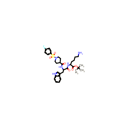 CC(C)(C)OC(=O)C(CCCCN)NC(=O)C(Cc1c[nH]c2ccccc12)NC(=O)C1CCN(S(=O)(=O)c2ccc(F)cc2)CC1